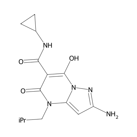 CC(C)Cn1c(=O)c(C(=O)NC2CC2)c(O)n2nc(N)cc12